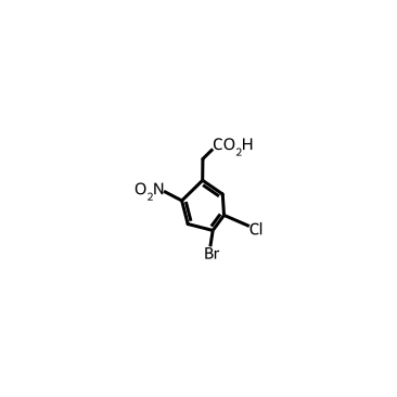 O=C(O)Cc1cc(Cl)c(Br)cc1[N+](=O)[O-]